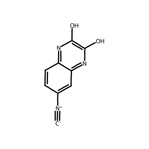 [C-]#[N+]c1ccc2nc(O)c(O)nc2c1